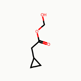 O=C(CC1CC1)OCO